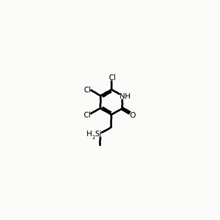 C[SiH2]Cc1c(Cl)c(Cl)c(Cl)[nH]c1=O